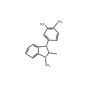 Cc1ccc(N2c3ccccc3N(C)C2I)cc1C